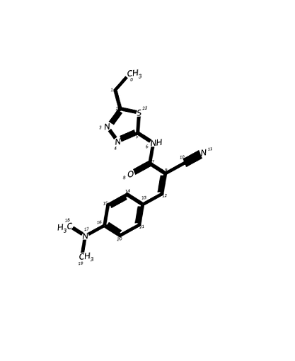 CCc1nnc(NC(=O)/C(C#N)=C\c2ccc(N(C)C)cc2)s1